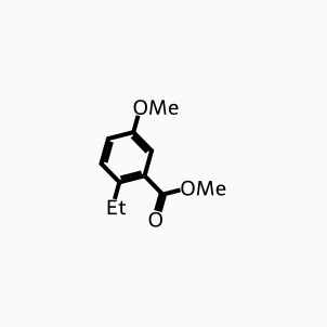 CCc1ccc(OC)cc1C(=O)OC